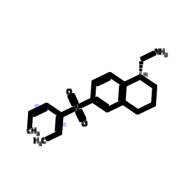 C/C=C\C(=C/C)S(=O)(=O)c1ccc2c(c1)CCC[C@H]2CN